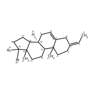 C/C=C1/CCC2(C)C(=CC[C@H]3C2CCC2(C)C3CCC2(Br)C(C)=O)C1